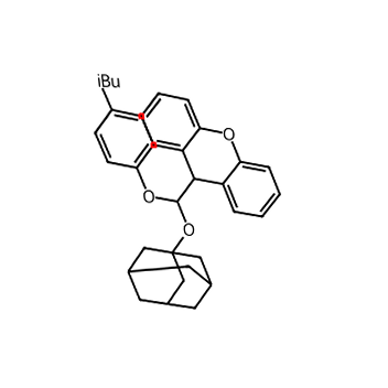 CCC(C)c1ccc(OC(OC23CC4CC(CC(C4)C2)C3)C2c3ccccc3Oc3ccccc32)cc1